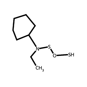 CCN(SOS)C1CCCCC1